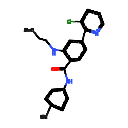 COCCNc1cc(-c2ncccc2Cl)ccc1C(=O)Nc1ccc(C(C)(C)C)cc1